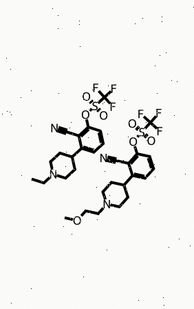 CCN1CCC(c2cccc(OS(=O)(=O)C(F)(F)F)c2C#N)CC1.COCCN1CCC(c2cccc(OS(=O)(=O)C(F)(F)F)c2C#N)CC1